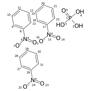 O=P(O)(O)O.O=[N+]([O-])c1ccccc1.O=[N+]([O-])c1ccccc1.O=[N+]([O-])c1ccccc1